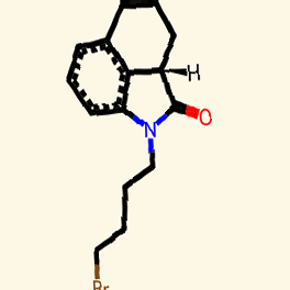 O=C1[C@H]2CCCc3cccc(c32)N1CCCCBr